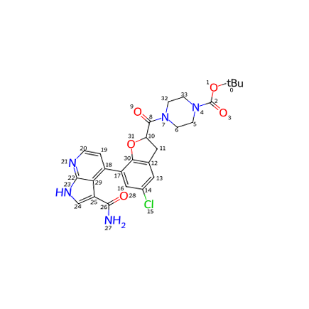 CC(C)(C)OC(=O)N1CCN(C(=O)C2Cc3cc(Cl)cc(-c4ccnc5[nH]cc(C(N)=O)c45)c3O2)CC1